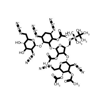 CC(=O)OC1C(O[C@H]2OC(CN=[N+]=[N-])[C@@H](OC(C)=O)C(OC(C)=O)C2N=[N+]=[N-])[C@@H](CO[Si](C)(C)C(C)(C)C)O[C@H]1OC1C(OC(C)=O)[C@H](N=[N+]=[N-])CC(N=[N+]=[N-])[C@H]1O[C@H]1OC(CN=[N+]=[N-])[C@@H](O)C(O)C1N=[N+]=[N-]